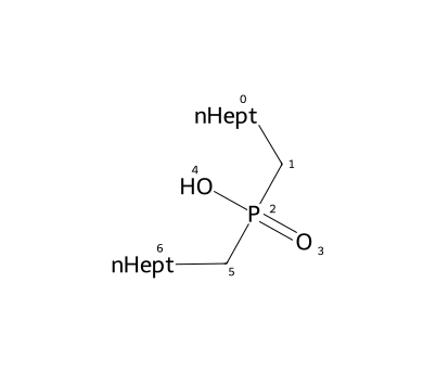 CCCCCCCCP(=O)(O)CCCCCCCC